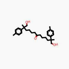 Cc1ccc(C(C)(CO)CCCCC(=O)CCCCC(C)(CO)c2ccc(C)cc2)cc1